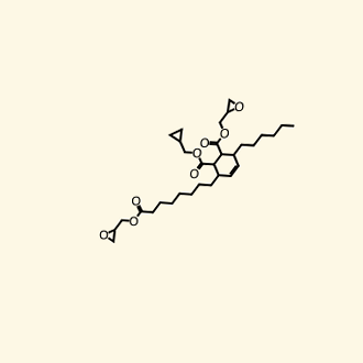 CCCCCCC1C=CC(CCCCCCCC(=O)OCC2CO2)C(C(=O)OCC2CC2)C1C(=O)OCC1CO1